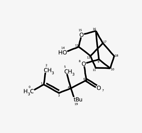 CC(C)=CC(C)(C(=O)OC1C2CC3C(O)OC1C3C2)C(C)(C)C